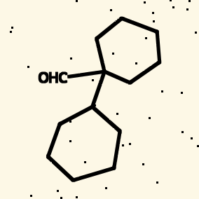 O=CC1(C2CCCCC2)CCCCC1